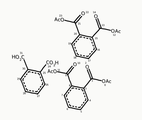 CC(=O)OC(=O)c1ccccc1C(=O)OC(C)=O.CC(=O)OC(=O)c1ccccc1C(=O)OC(C)=O.O=C(O)c1ccccc1C(=O)O